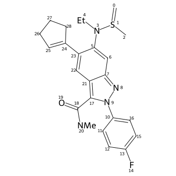 C=S(C)N(CC)c1cc2nn(-c3ccc(F)cc3)c(C(=O)NC)c2cc1C1=CCCC1